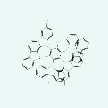 Cc1cc2c3ccc4c5ccccc5sc4c3n(-c3c(-n4c5ccccc5c5ccccc54)c(C#N)c(-n4c5ccc(C(C)(C)C)cc5c5cc(C(C)(C)C)c6c7ccccc7sc6c54)c(C#N)c3-n3c4ccccc4c4ccccc43)c2cc1C